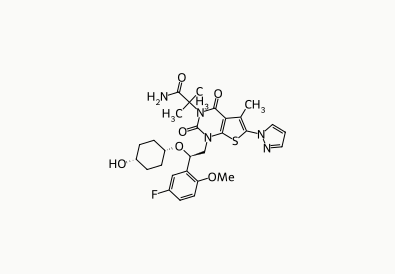 COc1ccc(F)cc1[C@H](Cn1c(=O)n(C(C)(C)C(N)=O)c(=O)c2c(C)c(-n3cccn3)sc21)O[C@H]1CC[C@@H](O)CC1